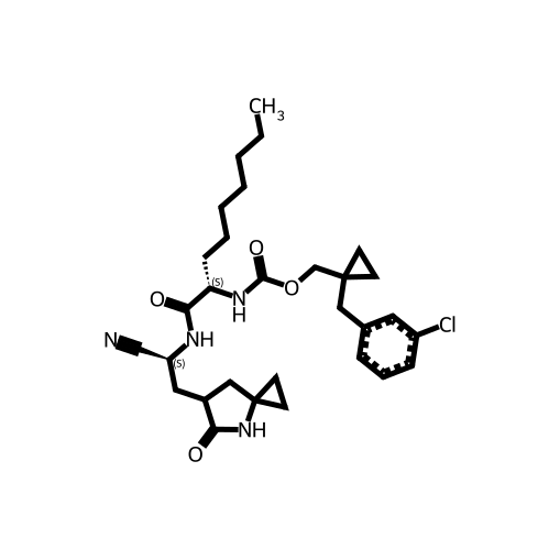 CCCCCCC[C@H](NC(=O)OCC1(Cc2cccc(Cl)c2)CC1)C(=O)N[C@H](C#N)CC1CC2(CC2)NC1=O